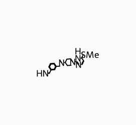 CSC1C=CN=C(N2CCC(N(C)Cc3cccc(C=N)c3)CC2)N1